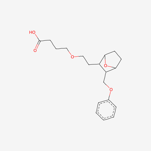 O=C(O)CCCOCCC1C2CCC(O2)C1COc1ccccc1